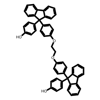 Oc1ccc(C2(c3ccc(OCCOc4ccc(C5(c6ccc(O)cc6)c6ccccc6-c6ccccc65)cc4)cc3)c3ccccc3-c3ccccc32)cc1